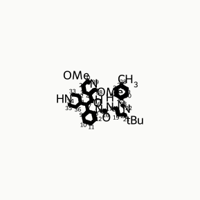 COc1ccc(C(=O)C(c2ccccc2NC(=O)Nc2cc(C(C)(C)C)nn2-c2ccc(C)cc2)C2CCNCC2)c(OC)n1